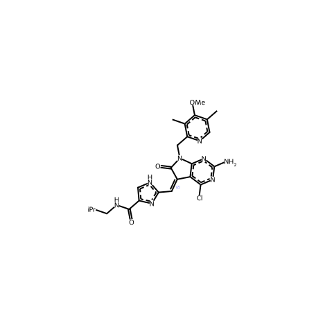 COc1c(C)cnc(CN2C(=O)/C(=C\c3nc(C(=O)NCC(C)C)c[nH]3)c3c(Cl)nc(N)nc32)c1C